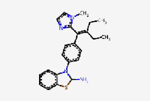 CCC(CC)=C(c1ccc(N2c3ccccc3SC2N)cc1)c1nccn1C